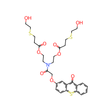 O=C(CCSCCO)OCCN(CCOC(=O)CCSCCO)C(=O)COc1ccc2sc3ccccc3c(=O)c2c1